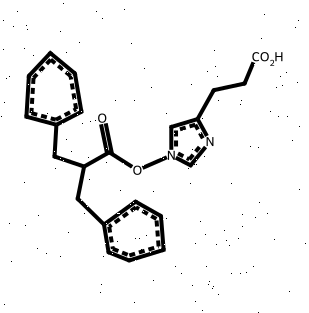 O=C(O)CCc1cn(OC(=O)C(Cc2ccccc2)Cc2ccccc2)cn1